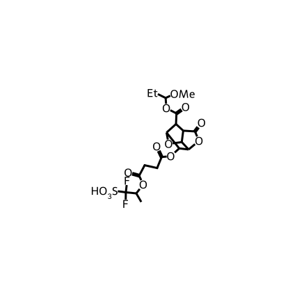 CCC(OC)OC(=O)C1C2OC3C(OC(=O)C31)C2OC(=O)CCC(=O)OC(C)C(F)(F)S(=O)(=O)O